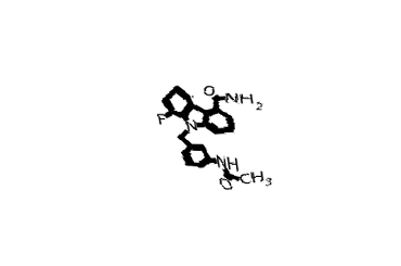 CC(=O)Nc1cccc(Cn2c3cccc(C(N)=O)c3c3[c]ccc(F)c32)c1